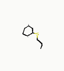 CCCSC1[CH]CC[CH]C1